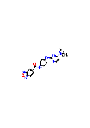 CN(C)c1ccnc(N[C@H]2CC[C@@H](NC(=O)c3ccc4nonc4c3)CC2)n1